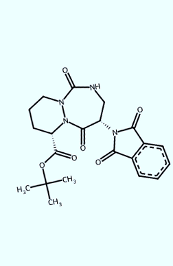 CC(C)(C)OC(=O)[C@@H]1CCCN2C(=O)NC[C@H](N3C(=O)c4ccccc4C3=O)C(=O)N12